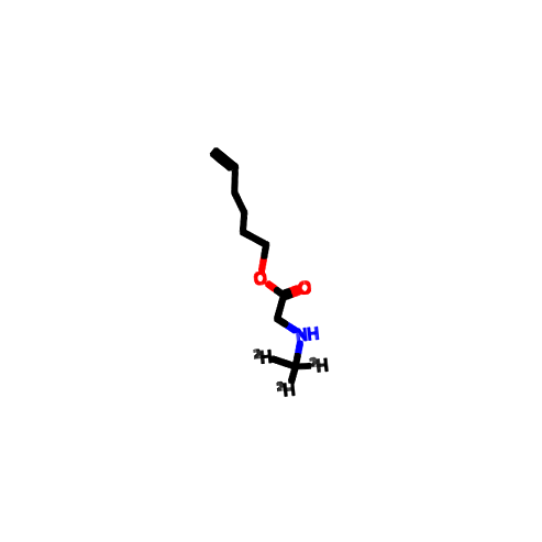 [2H]C([2H])([2H])NCC(=O)OCCCCC=C